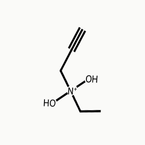 C#CC[N+](O)(O)CC